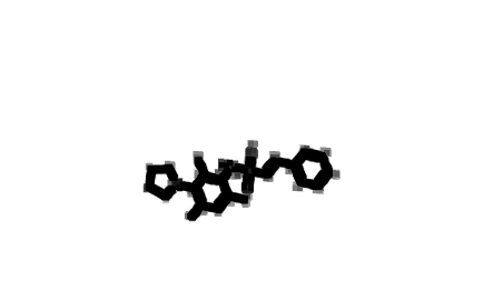 Cc1cc(C)c(N2CCCC2)c(C)c1NS(=O)(=O)/C=C/c1ccccc1